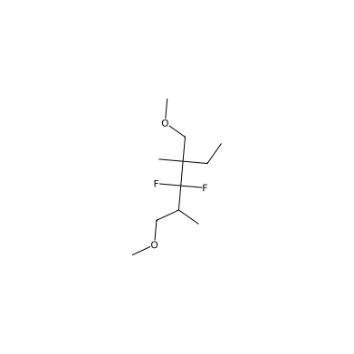 CCC(C)(COC)C(F)(F)C(C)COC